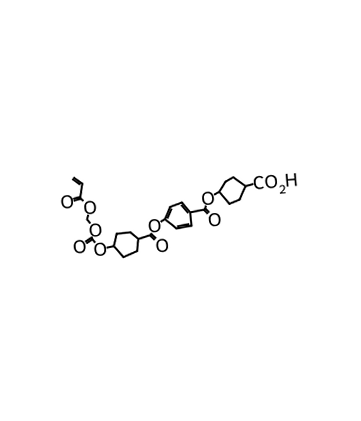 C=CC(=O)OCOC(=O)OC1CCC(C(=O)Oc2ccc(C(=O)OC3CCC(C(=O)O)CC3)cc2)CC1